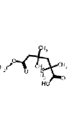 COC(=O)CC(C)(C)CC(C)(C)C(=O)O